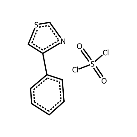 O=S(=O)(Cl)Cl.c1ccc(-c2cscn2)cc1